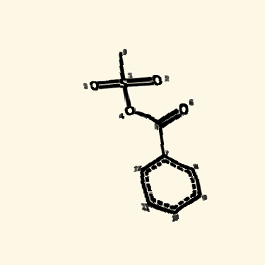 CS(=O)(=O)OC(=O)c1ccccc1